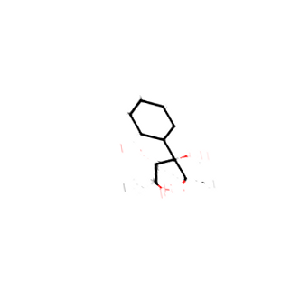 C[C@H](O)[C@@](O)(C1CCCCC1)[C@@H](O)[C@@H](C)O